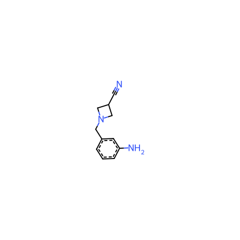 N#CC1CN(Cc2cccc(N)c2)C1